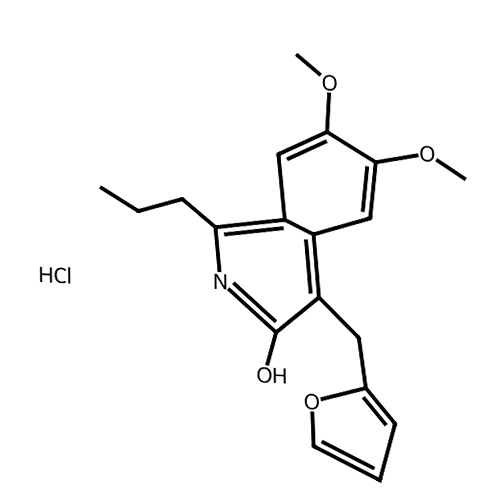 CCCc1nc(O)c(Cc2ccco2)c2cc(OC)c(OC)cc12.Cl